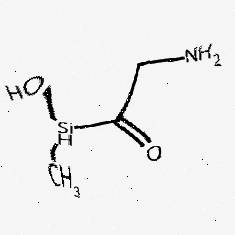 C[SiH](O)C(=O)CN